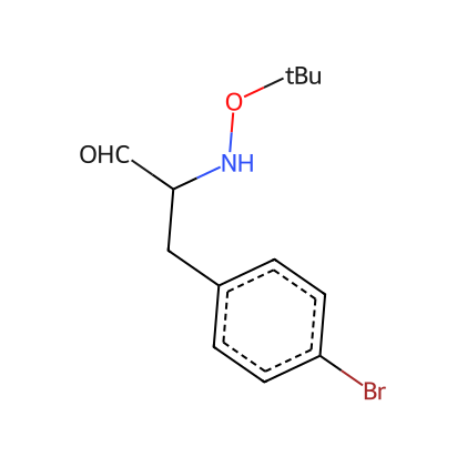 CC(C)(C)ONC(C=O)Cc1ccc(Br)cc1